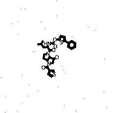 CC(C)CC(NC(=O)Oc1ccc(-c2ccccc2)s1)C(=O)N1CCC2C1C(=O)CN2C(=O)c1ccsc1